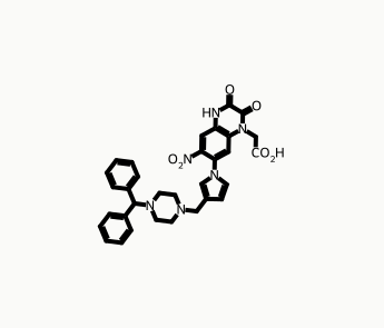 O=C(O)Cn1c(=O)c(=O)[nH]c2cc([N+](=O)[O-])c(-n3ccc(CN4CCN(C(c5ccccc5)c5ccccc5)CC4)c3)cc21